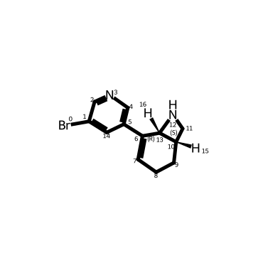 Brc1cncc(C2=CCC[C@H]3CN[C@@H]23)c1